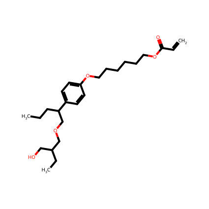 C=CC(=O)OCCCCCCOc1ccc(C(CCC)COCC(CC)CO)cc1